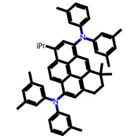 Cc1cccc(N(c2cc(C)cc(C)c2)c2cc(C(C)C)c3ccc4c(N(c5cccc(C)c5)c5cc(C)cc(C)c5)cc5c6c(cc2c3c46)C(C)(C)CC5)c1